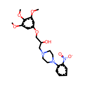 COc1cc(OCC(O)CN2CCN(c3ccccc3[N+](=O)[O-])CC2)cc(OC)c1OC